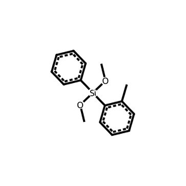 CO[Si](OC)(c1ccccc1)c1ccccc1C